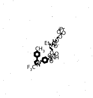 CCN(CCOC(=O)NS(=O)(=O)c1ccc(-n2nc(C(F)(F)F)cc2-c2ccc(C)cc2)cc1)[N+]([O-])=NOCOC(=O)OC(C)C